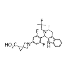 C[C@@H]1Cc2c([nH]c3ccccc23)[C@@H](c2c(F)cc(N3CC4(CC4C(=O)O)C3)cc2F)N1CC(C)(C)F